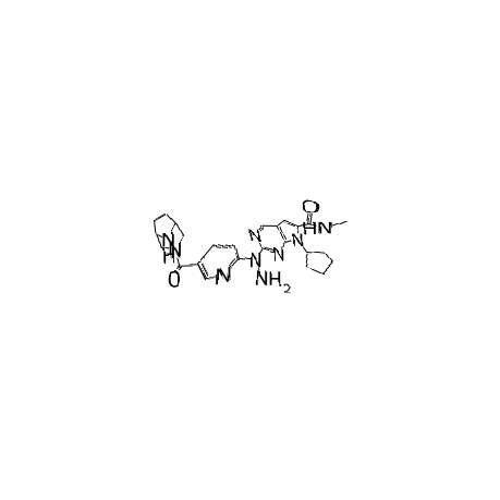 CNC(=O)c1cc2cnc(N(N)c3ccc(C(=O)N4CC5CCC(C4)N5)cn3)nc2n1C1CCCC1